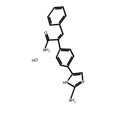 Cl.NC(=O)C(=Cc1ccccc1)c1ccc(-c2cnc(N)[nH]2)cc1